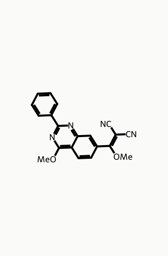 COC(=C(C#N)C#N)c1ccc2c(OC)nc(-c3ccccc3)nc2c1